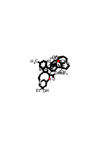 CC[C@]1(O)C[C@@H]2CN(CCc3c([nH]c4ccc(C)cc34)[C@@](C(=O)OC)(c3cc([C@]4(C)CCN5CC=C[C@@](CC)([C@@H](OC(C)=O)C(C)(O)C(=O)OC)C54)c(N(C)C)cc3OC)C2)C1